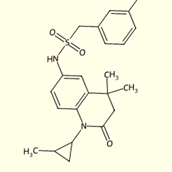 CC1CC1N1C(=O)CC(C)(C)c2cc(NS(=O)(=O)Cc3cccc(Cl)c3)ccc21